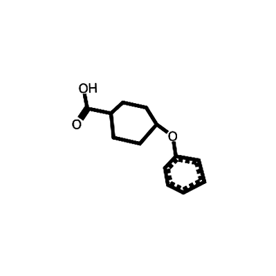 O=C(O)C1CCC(Oc2ccccc2)CC1